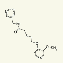 COc1ccccc1OCCSCC(=O)NCc1cccnc1